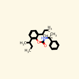 CCC(C)c1cccc(C(C)CC)c1OC(=O)N[C@H](C)c1ccccc1